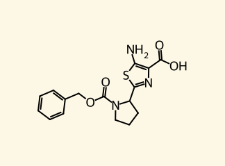 Nc1sc(C2CCCN2C(=O)OCc2ccccc2)nc1C(=O)O